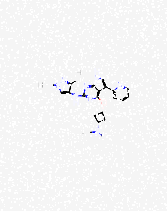 CC(=O)N(C)[C@H]1C[C@H](Oc2nc(Nc3cn(C)nc3C)nc3[nH]cc(-c4ccccn4)c23)C1